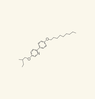 CCCCCCCCCOc1ccc(-c2ccc(OCC(C)CC)cn2)cc1